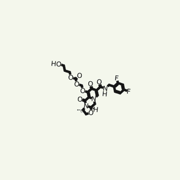 C[C@H]1CO[C@@H]2Cn3cc(C(=O)NCc4ccc(F)cc4F)c(=O)c(OCOC(=O)OCCCO)c3C(=O)N12